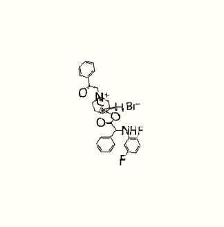 O=C(C[N+]12CCC(CC1)[C@@H](OC(=O)C(Nc1cc(F)ccc1F)c1ccccc1)C2)c1ccccc1.[Br-]